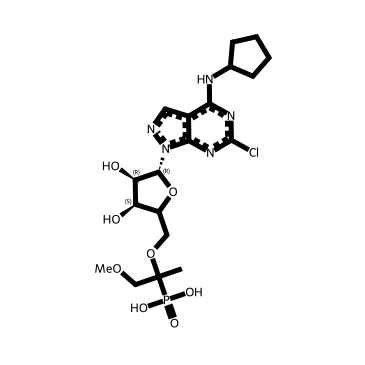 COCC(C)(OCC1O[C@@H](n2ncc3c(NC4CCCC4)nc(Cl)nc32)[C@H](O)[C@@H]1O)P(=O)(O)O